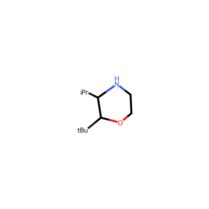 CC(C)C1NCCOC1C(C)(C)C